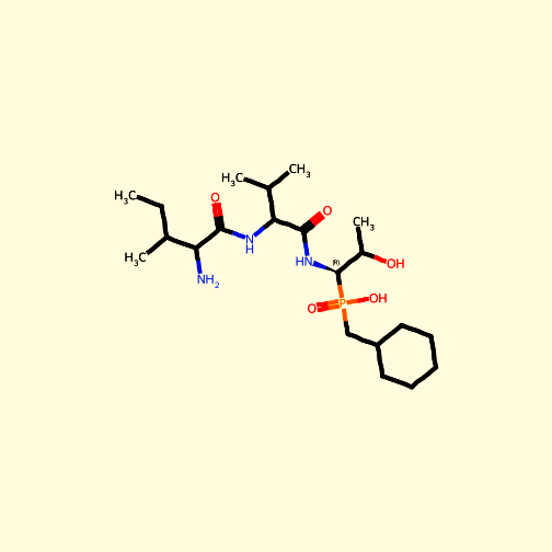 CCC(C)C(N)C(=O)NC(C(=O)N[C@@H](C(C)O)P(=O)(O)CC1CCCCC1)C(C)C